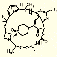 Cc1nc2c3cc(C4CCS(=O)(=O)CC4)c(=O)n(c3n1)CC(=O)NCCCC(C)N1CC(C1)CC(F)(F)c1cccc(c1F)[C@@H](C)N2